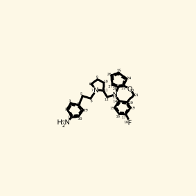 Nc1ccc(CCN2CCCC2CN2c3ccc(F)cc3COc3ccccc32)cc1